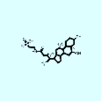 CC(CCC(=O)NCCP(=O)(O)O)C1CCC2C3C[C@H](O)[C@@H]4C[C@H](O)CC[C@]4(C)C3CC[C@]12C